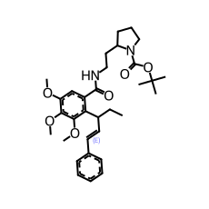 CCC(/C=C/c1ccccc1)c1c(C(=O)NCCC2CCCN2C(=O)OC(C)(C)C)cc(OC)c(OC)c1OC